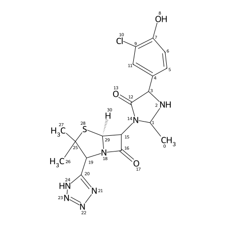 CC1NC(c2ccc(O)c(Cl)c2)C(=O)N1C1C(=O)N2C(c3nnn[nH]3)C(C)(C)S[C@@H]12